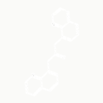 O=C(Cc1cccc2cccnc12)Cc1cccc2cccnc12